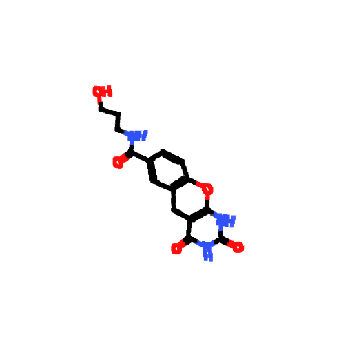 O=C(NCCCO)c1ccc2c(c1)Cc1c([nH]c(=O)[nH]c1=O)O2